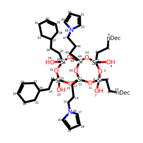 CCCCCCCCCCCC[Si]1(O)O[Si](O)(CCCCCCCCCCCC)O[Si]2(CCCn3cccc3)O[Si](O)(CCC3CC=CCC3)O[Si](O)(CCC3CC=CCC3)O[Si](CCCn3cccc3)(O1)O2